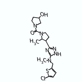 CC1C(c2n[nH]c(N(C)Cc3ccc(Cl)s3)n2)CCN1C(=O)N1CCC(O)C1